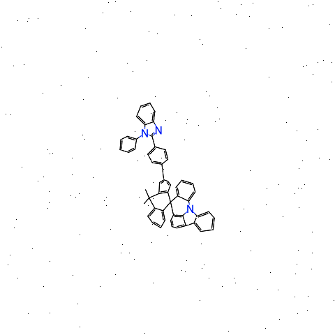 CC1(C)c2ccccc2C2(c3ccccc3-n3c4ccccc4c4cccc2c43)c2ccc(-c3ccc(-c4nc5ccccc5n4-c4ccccc4)cc3)cc21